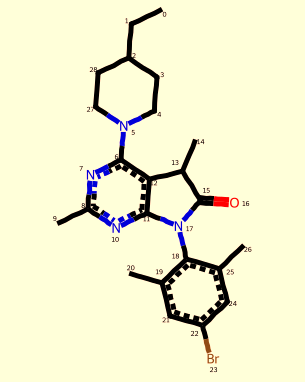 CCC1CCN(c2nc(C)nc3c2C(C)C(=O)N3c2c(C)cc(Br)cc2C)CC1